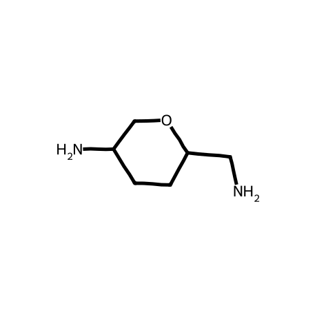 NCC1CCC(N)CO1